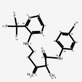 C=C(CCNc1nccnc1C(F)(F)F)C(C)C(=O)Nc1ccc(F)cc1